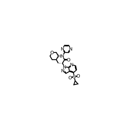 O=C(Nc1cnccn1)[C@@H](CC1CCOCC1)n1ncc2c(S(=O)(=O)C3CC3)ccnc21